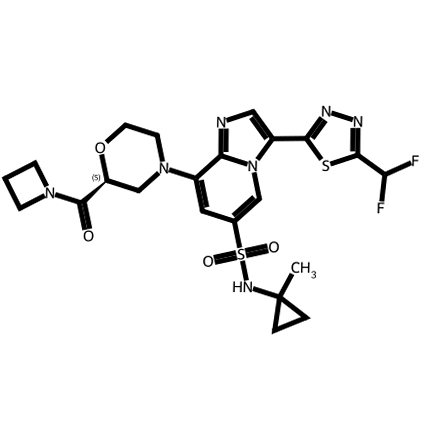 CC1(NS(=O)(=O)c2cc(N3CCO[C@H](C(=O)N4CCC4)C3)c3ncc(-c4nnc(C(F)F)s4)n3c2)CC1